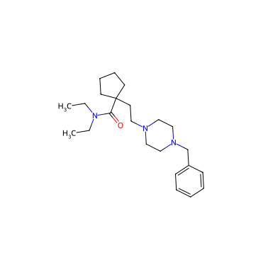 CCN(CC)C(=O)C1(CCN2CCN(Cc3ccccc3)CC2)CCCC1